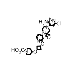 Nc1nnc(Cl)cc1N1CCN(c2ccnc(OC3CC(OC4CCN(C(=O)O)CC4)C3)c2)C2(COC2)C1